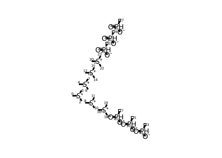 C[S+](C)C.C[S+](C)C.C[S+](C)C.C[S+](C)C.C[S+](C)C.C[S+](C)C.O=[PH]([O-])F.O=[PH]([O-])F.O=[PH]([O-])F.O=[PH]([O-])F.O=[PH]([O-])F.O=[PH]([O-])F